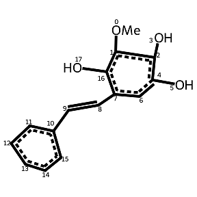 COc1c(O)c(O)cc(C=Cc2ccccc2)c1O